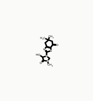 CN1CN(c2nc3c(s2)C(=O)CC(C)(C)C3)C(O)C1=O